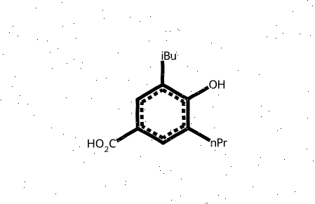 CCCc1cc(C(=O)O)cc(C(C)CC)c1O